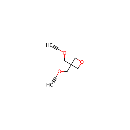 C#COCC1(COC#C)COC1